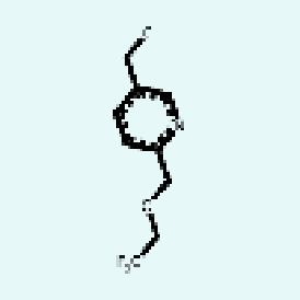 FC(F)(F)COCc1ccc(CCl)cn1